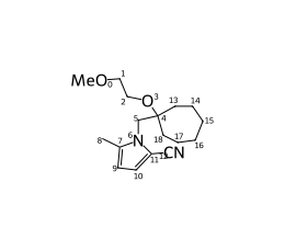 COCCOC1(Cn2c(C)ccc2C#N)CCCCCC1